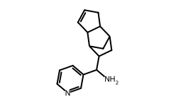 NC(c1cccnc1)C1CC2CC1C1C=CCC21